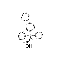 OBOC(c1ccccc1)(c1ccccc1)c1ccccc1.c1ccccc1